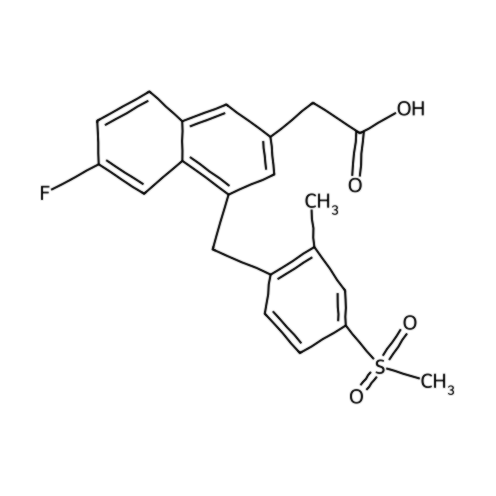 Cc1cc(S(C)(=O)=O)ccc1Cc1cc(CC(=O)O)cc2ccc(F)cc12